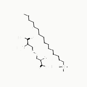 CCCCCCCCCCCCCCCC[N+](C)(C)C.NC(CSSCC(N)C(=O)O)C(=O)O